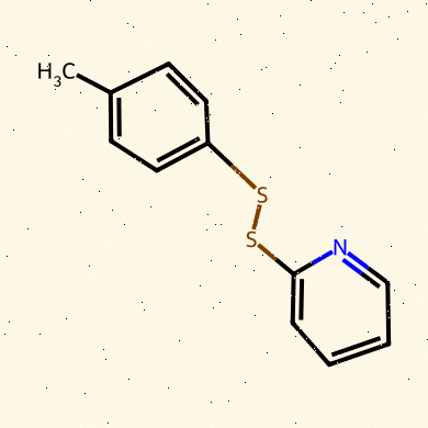 Cc1ccc(SSc2ccccn2)cc1